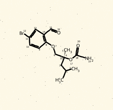 CC(C)C[C@@](C)(COc1ccc(Br)cc1C=O)OC(N)=O